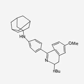 CCCCC1Cc2cc(OC)ccc2C(c2ccc(NC34CC5CC(CC(C5)C3)C4)cc2)=N1